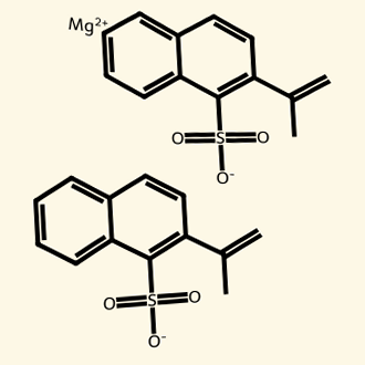 C=C(C)c1ccc2ccccc2c1S(=O)(=O)[O-].C=C(C)c1ccc2ccccc2c1S(=O)(=O)[O-].[Mg+2]